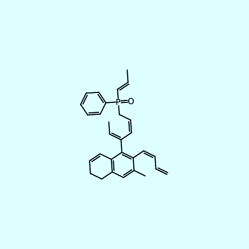 C=C/C=C\c1c(C)cc2c(c1C(/C=C\CP(=O)(/C=C/C)c1ccccc1)=C/C)C=CCC2